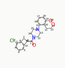 O=C([C@@H]1Cc2c(Cl)cccc21)N1CCN(c2cccc3c2CCOO3)CC1